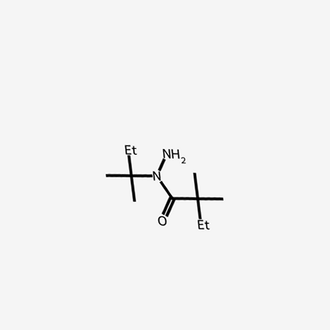 CCC(C)(C)C(=O)N(N)C(C)(C)CC